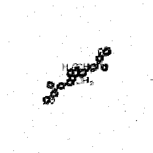 Cc1c2c3c(cccc3c3cc(-c4ccc(N(c5ccccc5)c5ccc6oc7ccccc7c6c5)cc4)ccc13)C(C)(C)c1cc(-c3ccc(N(c4ccccc4)c4ccc5oc6ccccc6c5c4)cc3)ccc1-2